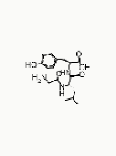 CC(C)C[C@H](NC(=O)CN)C(=O)N[C@@H](Cc1ccc(O)cc1)C(=O)O